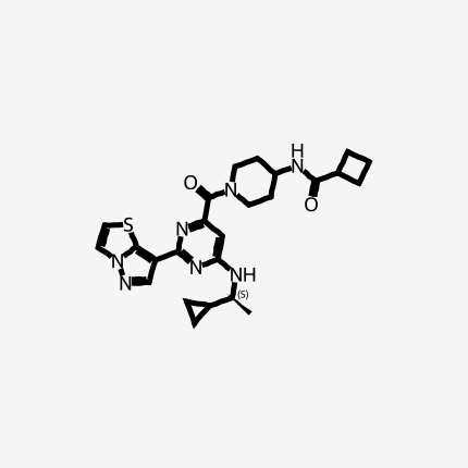 C[C@H](Nc1cc(C(=O)N2CCC(NC(=O)C3CCC3)CC2)nc(-c2cnn3ccsc23)n1)C1CC1